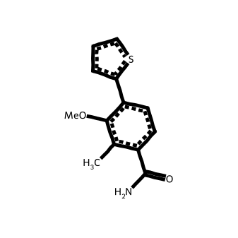 COc1c(-c2cccs2)ccc(C(N)=O)c1C